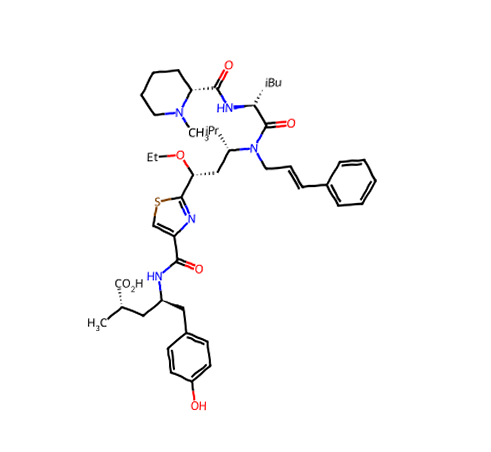 CCO[C@H](C[C@H](C(C)C)N(C/C=C/c1ccccc1)C(=O)[C@@H](NC(=O)[C@H]1CCCCN1C)[C@@H](C)CC)c1nc(C(=O)N[C@@H](Cc2ccc(O)cc2)C[C@H](C)C(=O)O)cs1